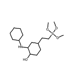 CO[Si](CCC1CCC(O)C(NC2CCCCC2)C1)(OC)OC